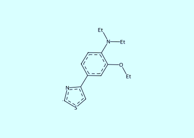 CCOc1cc(-c2cs[c]n2)ccc1N(CC)CC